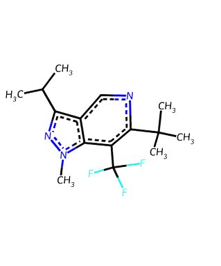 CC(C)c1nn(C)c2c(C(F)(F)F)c(C(C)(C)C)ncc12